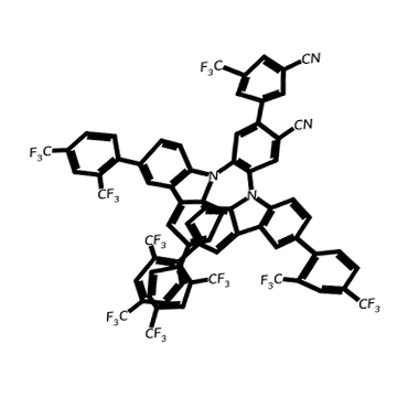 N#Cc1cc(-c2cc(-n3c4ccc(-c5ccc(C(F)(F)F)cc5C(F)(F)F)cc4c4cc(-c5ccc(C(F)(F)F)cc5C(F)(F)F)ccc43)c(-n3c4ccc(-c5ccc(C(F)(F)F)cc5C(F)(F)F)cc4c4cc(-c5ccc(C(F)(F)F)cc5C(F)(F)F)ccc43)cc2C#N)cc(C(F)(F)F)c1